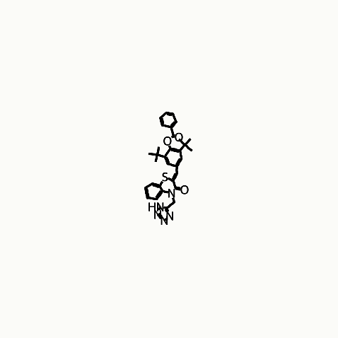 CC(C)(C)c1cc(C=C2Sc3ccccc3N(Cc3nnn[nH]3)C2=O)cc(C(C)(C)C)c1OC(=O)c1ccccc1